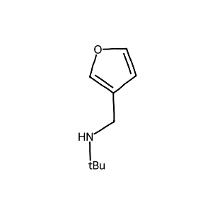 CC(C)(C)NCc1ccoc1